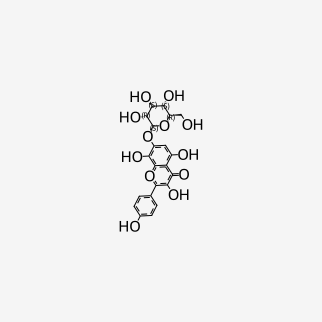 O=c1c(O)c(-c2ccc(O)cc2)oc2c(O)c(O[C@@H]3O[C@H](CO)[C@@H](O)[C@H](O)[C@H]3O)cc(O)c12